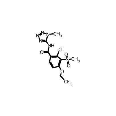 Cn1nnnc1NC(=O)c1ccc(OCC(F)(F)F)c(S(C)(=O)=O)c1Cl